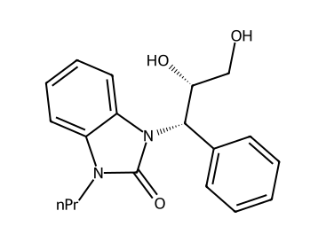 CCCn1c(=O)n([C@@H](c2ccccc2)[C@H](O)CO)c2ccccc21